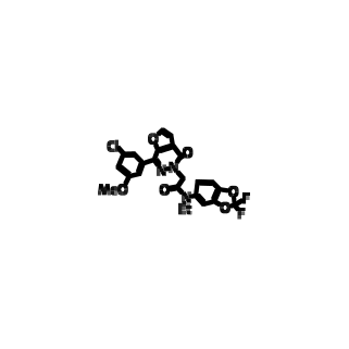 CCN(C(=O)Cn1nc(-c2cc(Cl)cc(OC)c2)c2occc2c1=O)c1ccc2c(c1)OC(F)(F)O2